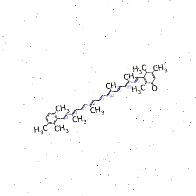 CC1=CC(=O)C(C)=C(/C=C/C(C)=C/C=C/C(C)=C/C=C/C=C(C)/C=C/C=C(C)/C=C/c2c(C)ccc(C)c2C)C1C